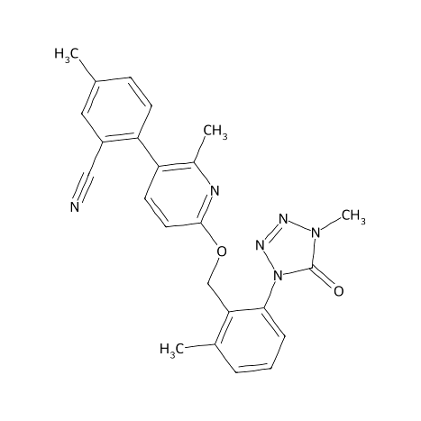 Cc1ccc(-c2ccc(OCc3c(C)cccc3-n3nnn(C)c3=O)nc2C)c(C#N)c1